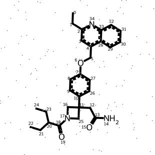 CCc1cc(COc2ccc(C3(CC(N)=O)CN(C(=O)C(CC)CC)C3)cc2)c2ccccc2n1